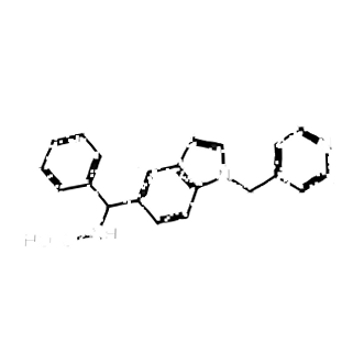 O=C(O)NC(c1ccccc1)c1ccc2c(ccn2Cc2ccncc2)c1